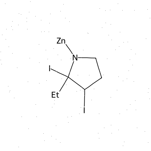 CCC1(I)C(I)CC[N]1[Zn]